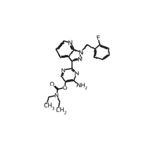 CCN(CC)C(=O)Oc1cnc(-c2nn(Cc3ccccc3F)c3ncccc23)nc1N